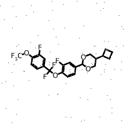 Fc1cc(C(F)(F)Oc2ccc(C3OCC(C4CCC4)CO3)cc2F)ccc1OC(F)(F)F